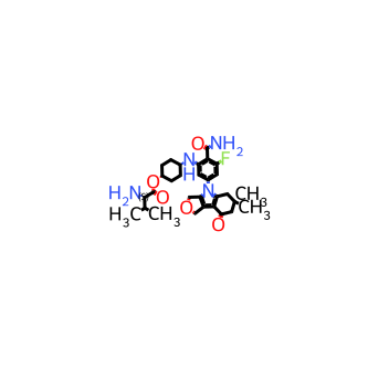 CC(C)[C@H](N)C(=O)O[C@H]1CC[C@H](Nc2cc(-n3c4c(c5c3CC(C)(C)CC5=O)COC4)cc(F)c2C(N)=O)CC1